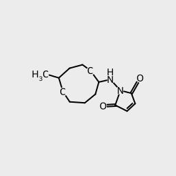 CC1CCCCC(NN2C(=O)C=CC2=O)CCC1